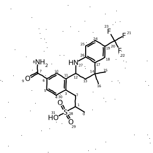 CC(Cc1ccc(C(N)=O)cc1C1CC(C)(C)c2cc(C(F)(F)F)ccc2N1)S(=O)(=O)O